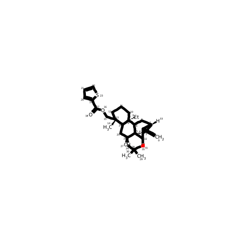 C=C1[C@H]2CC[C@@]34C(C2)[C@]2(CC)CCC[C@@](C)(COC(=O)c5cccs5)C2C[C@H]3OC(C)(C)O[C@@H]14